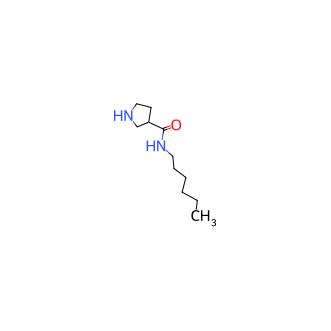 CCCCCCNC(=O)C1CCNC1